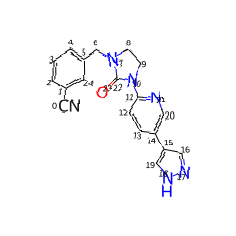 N#Cc1cccc(CN2CCN(c3ccc(-c4cn[nH]c4)cn3)C2=O)c1